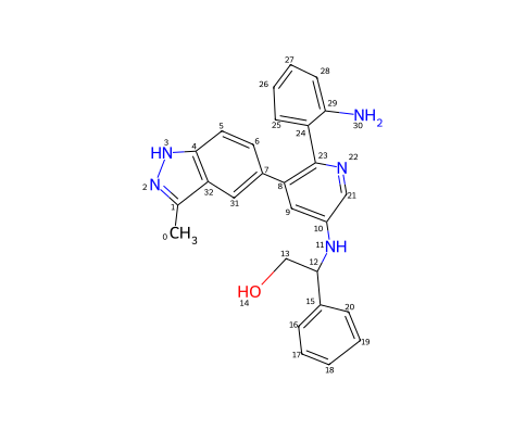 Cc1n[nH]c2ccc(-c3cc(NC(CO)c4ccccc4)cnc3-c3ccccc3N)cc12